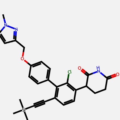 Cn1ccc(COc2ccc(-c3c(C#C[Si](C)(C)C)ccc(C4CCC(=O)NC4=O)c3Cl)cc2)n1